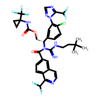 CC(C)(C)CCNC(=N)N(C(=O)c1ccc2c(C(F)F)nccc2c1)[C@H](COC(=O)NC1(C(F)(F)F)CC1)c1ccc(Cl)c(-n2ncnc2C(F)F)c1